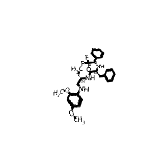 CC[C@@H](CNc1ccc(OC)cc1OC)NC(=O)[C@H](Cc1ccccc1)N[C@@H](c1ccccc1)C(F)(F)F